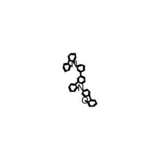 c1cc(-c2ccc3c(c2)c2ccccc2n3-c2ccc3c(c2)oc2ccccc23)cc(-n2c3ccccc3c3ccccc32)c1